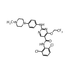 CN1CCN(c2ccc(Nc3ncc(C(=O)Nc4c(Cl)cccc4Cl)c(OCC(F)(F)F)n3)cc2)CC1